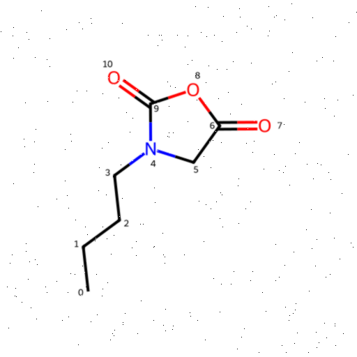 CCCCN1CC(=O)OC1=O